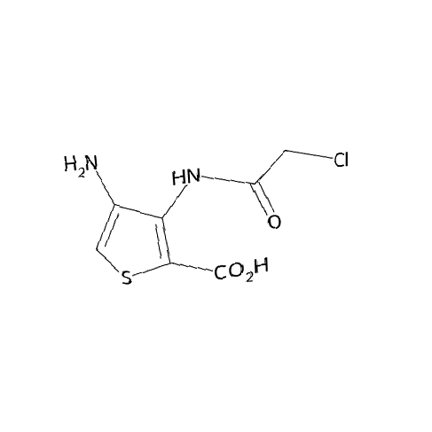 Nc1csc(C(=O)O)c1NC(=O)CCl